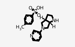 Cc1ccc(S(=O)(=O)O)cc1.c1cncc(N2C[C@@H]3CCN[C@@H]3C2)c1